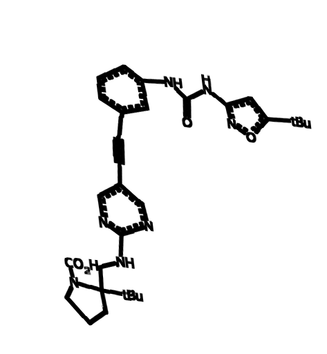 CC(C)(C)c1cc(NC(=O)Nc2cccc(C#Cc3cnc(NCC4(C(C)(C)C)CCCN4C(=O)O)nc3)c2)no1